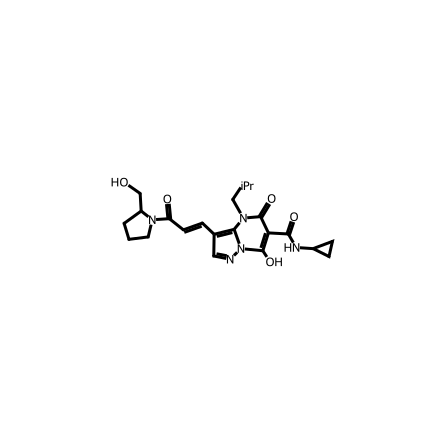 CC(C)Cn1c(=O)c(C(=O)NC2CC2)c(O)n2ncc(C=CC(=O)N3CCCC3CO)c12